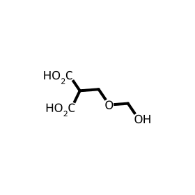 O=C(O)C(COCO)C(=O)O